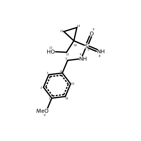 COc1ccc(CNS(=N)(=O)C2(CO)CC2)cc1